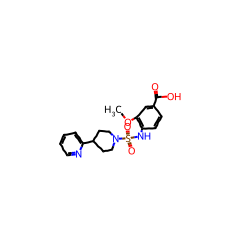 COc1cc(C(=O)O)ccc1NS(=O)(=O)N1CCC(c2ccccn2)CC1